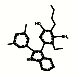 CCCCc1c(O)cc(-c2c(-c3cc(C)cc(C)c3)[nH]c3ccccc23)c(CC)c1N